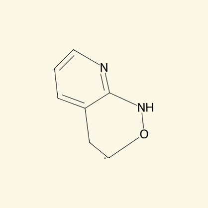 [CH]1Cc2cccnc2NO1